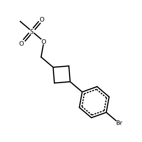 CS(=O)(=O)OCC1CC(c2ccc(Br)cc2)C1